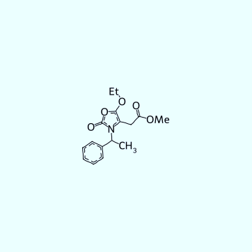 CCOc1oc(=O)n(C(C)c2ccccc2)c1CC(=O)OC